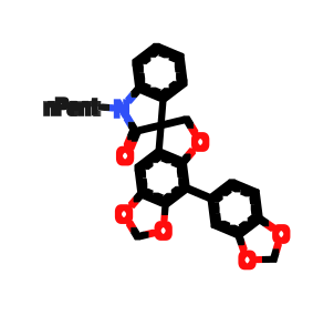 CCCCCN1C(=O)C2(COc3c2cc2c(c3-c3ccc4c(c3)OCO4)OCO2)c2ccccc21